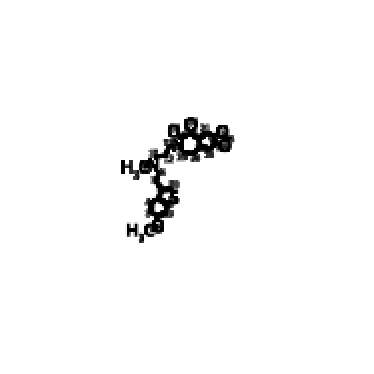 COc1ccc2c(CCN(C)CCCN3CCc4cc5c(cc4C(=O)C3=O)OCO5)csc2c1